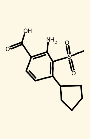 CS(=O)(=O)c1c(C2CCCC2)ccc(C(=O)O)c1N